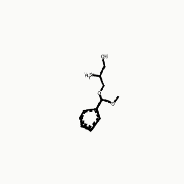 COC(OCC(N)CO)c1ccccc1